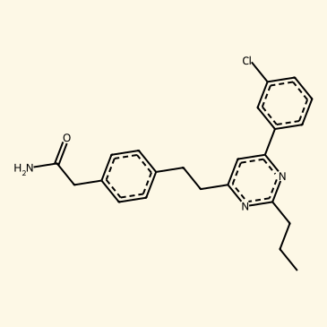 CCCc1nc(CCc2ccc(CC(N)=O)cc2)cc(-c2cccc(Cl)c2)n1